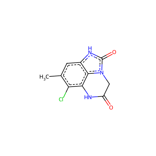 Cc1cc2[nH]c(=O)n3c2c(c1Cl)NC(=O)C3